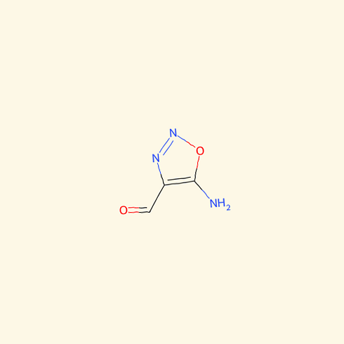 Nc1onnc1C=O